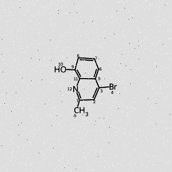 Cc1cc(Br)c2cccc(O)c2n1